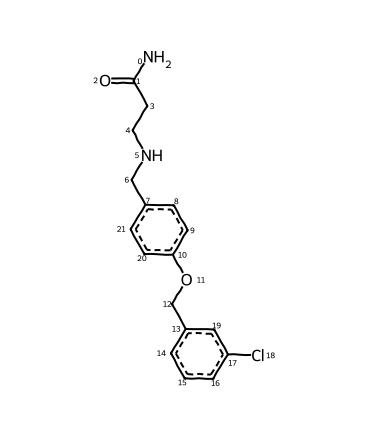 NC(=O)CCNCc1ccc(OCc2cccc(Cl)c2)cc1